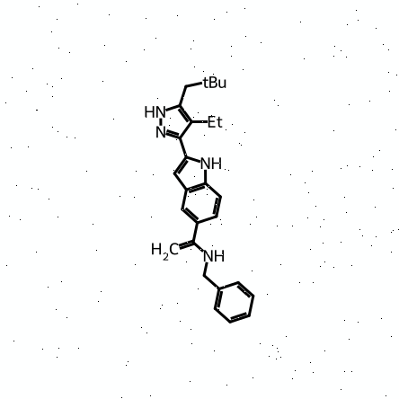 C=C(NCc1ccccc1)c1ccc2[nH]c(-c3n[nH]c(CC(C)(C)C)c3CC)cc2c1